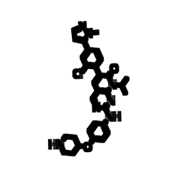 CC(C)n1c(=O)c(-c2ccc(-c3ccnn3C)cc2Cl)cc2cnc(Nc3ccc(OC4CCNCC4)cc3)nc21